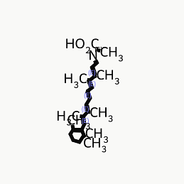 CC1=C(/C=C(C)/C(C)=C/C=C/C=C(C)/C(C)=C/C=N[C@@H](C)C(=O)O)C(C)(C)CCC1